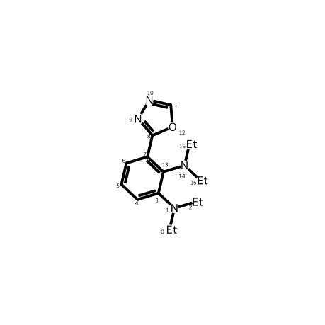 CCN(CC)c1cccc(-c2nnco2)c1N(CC)CC